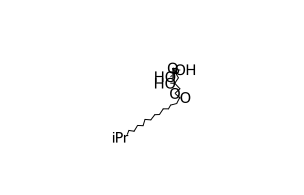 CC(C)CCCCCCCCCCCCC(=O)OCC(O)CP(=O)(O)O